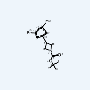 CC(C)(C)OC(=O)N1CC(c2cc(F)cc(Br)c2)C1